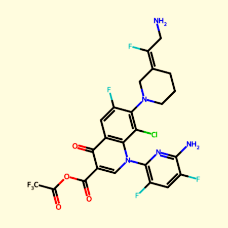 NC/C(F)=C1\CCCN(c2c(F)cc3c(=O)c(C(=O)OC(=O)C(F)(F)F)cn(-c4nc(N)c(F)cc4F)c3c2Cl)C1